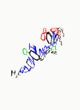 COc1cc(N2CCC(N3CCN(C)CC3)CC2)c(Cl)cc1Nc1ncc(Cl)c(Nc2cc3c(cc2N(C)S(C)(=O)=O)OCO3)n1